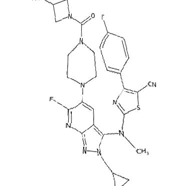 CN(c1nc(-c2ccc(F)cc2)c(C#N)s1)c1c2cc(N3CCN(C(=O)N4CC(O)C4)CC3)c(F)nc2nn1C1CC1